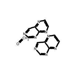 C=O.c1cnc2ncncc2n1.c1cnc2ncncc2n1